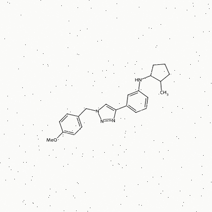 COc1ccc(Cn2cc(-c3cccc(NC4CC[CH]C4C)c3)nn2)cc1